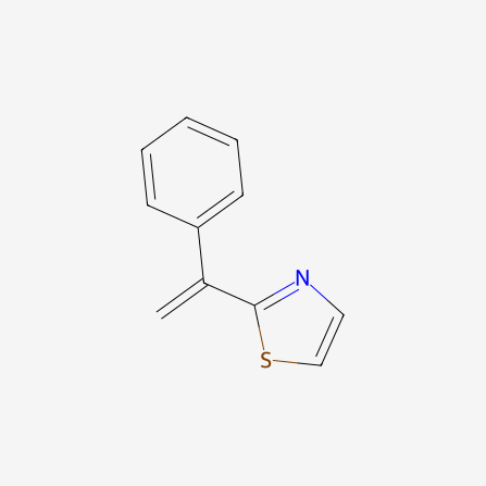 C=C(c1ccccc1)c1nccs1